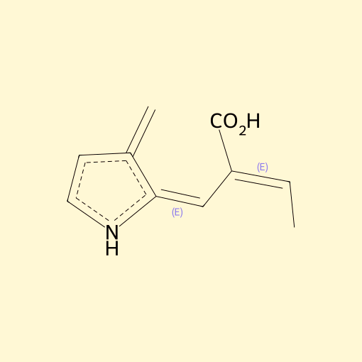 C=c1cc[nH]/c1=C/C(=C\C)C(=O)O